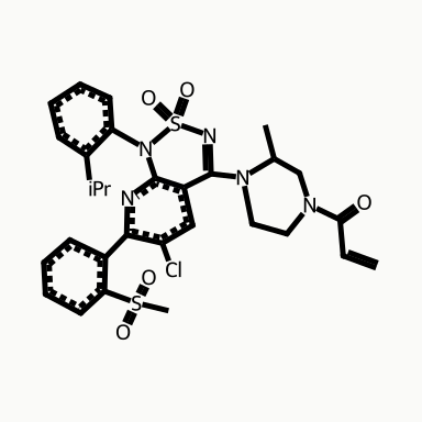 C=CC(=O)N1CCN(C2=NS(=O)(=O)N(c3ccccc3C(C)C)c3nc(-c4ccccc4S(C)(=O)=O)c(Cl)cc32)C(C)C1